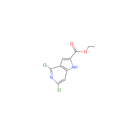 CCOC(=O)c1cc2c(Cl)nc(Cl)cc2[nH]1